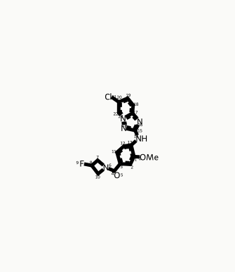 COc1cc(C(=O)N2CC(F)C2)ccc1Nc1nc2ccc(Cl)cn2n1